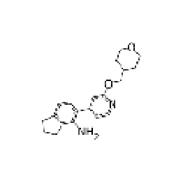 Nc1c(-c2ccnc(OCC3CCOCC3)c2)ccc2c1CCC2